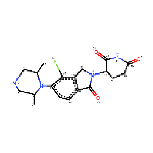 CC1CNCC(C)N1c1ccc2c(c1F)CN(C1CCC(=O)NC1=O)C2=O